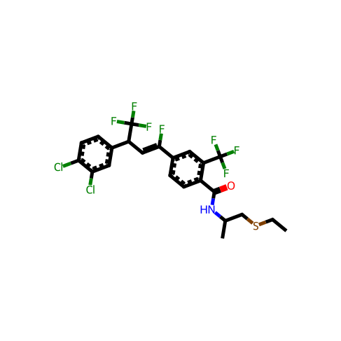 CCSCC(C)NC(=O)c1ccc(/C(F)=C/C(c2ccc(Cl)c(Cl)c2)C(F)(F)F)cc1C(F)(F)F